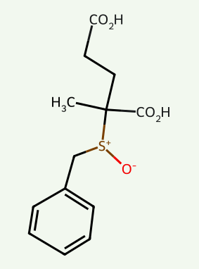 CC(CCC(=O)O)(C(=O)O)[S+]([O-])Cc1ccccc1